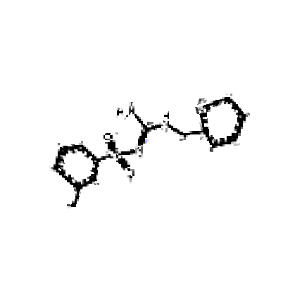 Cc1cccc(S(=O)(=O)/N=C(\N)NCc2ccccn2)c1